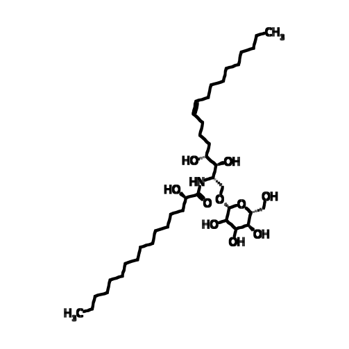 CCCCCCCCC/C=C\CCC[C@@H](O)[C@@H](O)[C@H](CO[C@@H]1O[C@H](CO)[C@@H](O)C(O)C1O)NC(=O)[C@H](O)CCCCCCCCCCCCCC